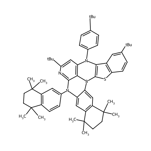 CC(C)(C)c1ccc(N2c3cc(C(C)(C)C)nc4c3B(c3cc5c(cc3N4c3ccc4c(c3)C(C)(C)CCC4(C)C)C(C)(C)CCC5(C)C)c3sc4ccc(C(C)(C)C)cc4c32)cc1